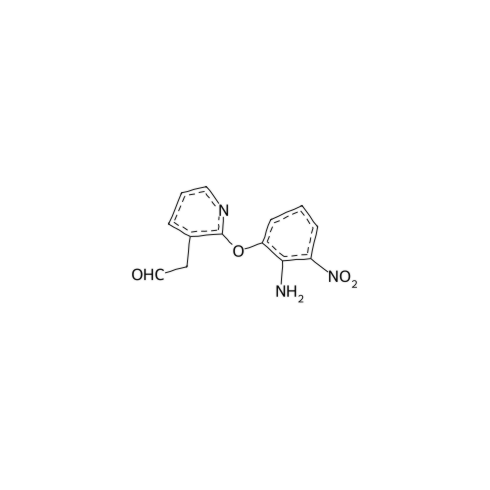 Nc1c(Oc2ncccc2CC=O)cccc1[N+](=O)[O-]